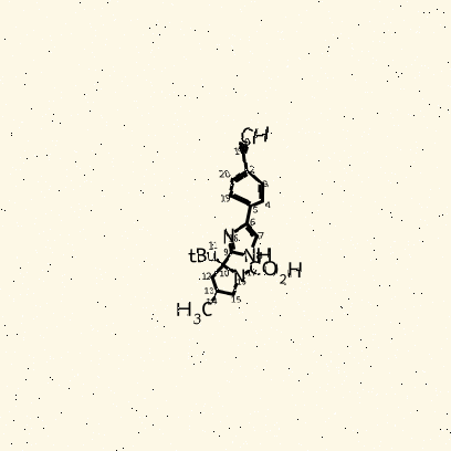 C#Cc1ccc(-c2c[nH]c([C@@]3(C(C)(C)C)C[C@H](C)CN3C(=O)O)n2)cc1